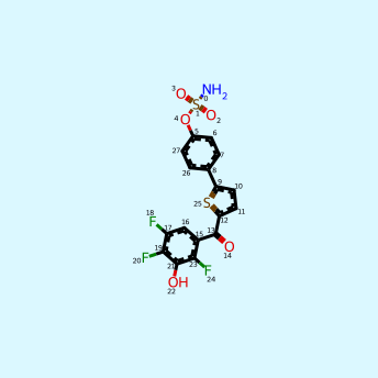 NS(=O)(=O)Oc1ccc(-c2ccc(C(=O)c3cc(F)c(F)c(O)c3F)s2)cc1